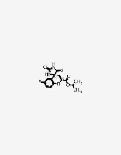 CC(C)OC(=O)[C@@H]1C[C@]2(NC(=O)NC2=O)c2cc(F)ccc2O1